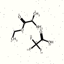 CCOC(=O)[C@@H](C)N.O=C(O)C(F)(F)F